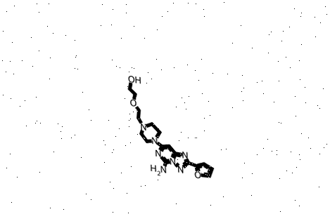 Nc1nc(N2CCN(CCOCCO)CC2)cc2nc(-c3ccco3)nn12